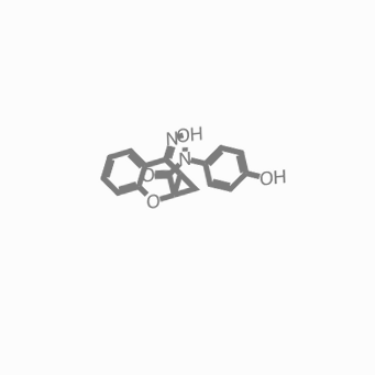 CN(C(=O)C12CC1C(=NO)c1ccccc1O2)c1ccc(O)cc1